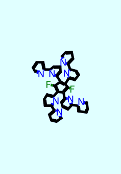 Fc1c(-c2cccc(-c3ccccn3)n2)c(-c2cccc(-c3ccccn3)n2)c(F)c(-c2cccc(-c3ccccn3)n2)c1-c1cccc(-c2ccccn2)n1